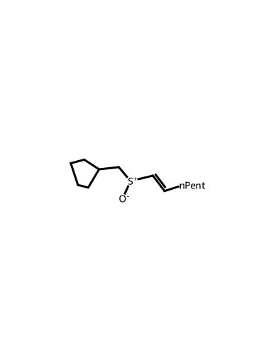 CCCCCC=C[S+]([O-])CC1CCCC1